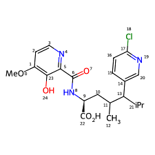 COc1ccnc(C(=O)N[C@@H](CC(C)C(c2ccc(Cl)nc2)C(C)C)C(=O)O)c1O